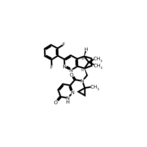 CC1(N(C[C@@]23CC[C@@H](c4cc(-c5c(F)cccc5F)nnc42)C3(C)C)C(=O)c2ccc(=O)[nH]n2)CC1